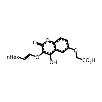 CCCCCC/C=C/Oc1c(O)c2cc(OCC(=O)O)ccc2oc1=O